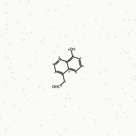 O=CCc1ccnc2c(O)cccc12